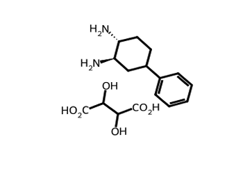 N[C@@H]1CCC(c2ccccc2)C[C@H]1N.O=C(O)C(O)C(O)C(=O)O